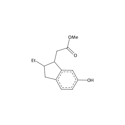 CCC1Cc2ccc(O)cc2C1CC(=O)OC